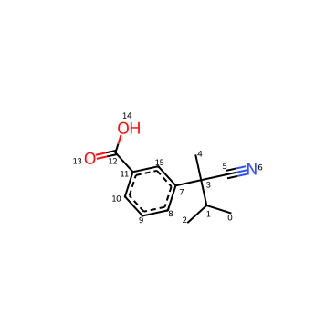 CC(C)C(C)(C#N)c1cccc(C(=O)O)c1